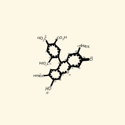 CCCCCCc1cc2c(-c3cc(C(=O)O)c(C(=O)O)cc3C(=O)O)c3cc(CCCCCC)c(=O)cc-3oc2cc1O